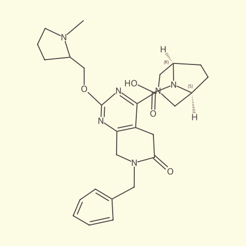 CN1CCCC1COc1nc2c(c(N3C[C@H]4CC[C@@H](C3)N4C(=O)O)n1)CC(=O)N(Cc1ccccc1)C2